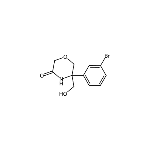 O=C1COCC(CO)(c2cccc(Br)c2)N1